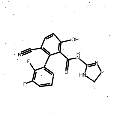 N#Cc1ccc(O)c(C(=O)NC2=NCCN2)c1-c1cccc(F)c1F